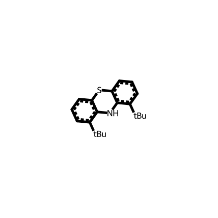 CC(C)(C)c1cccc2c1Nc1c(cccc1C(C)(C)C)S2